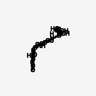 CC1C(OCCCCCCNC(=O)CCOCCOCCOCCNC(=O)CCOC[C@H](C)COCCC(=O)NCCOCCOCCOCCC=O)OC(COS(=O)(=O)O)C(O)C1O